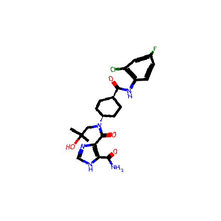 CC(C)(O)CN(C(=O)c1nc[nH]c1C(N)=O)[C@H]1CC[C@H](C(=O)Nc2ccc(F)cc2Cl)CC1